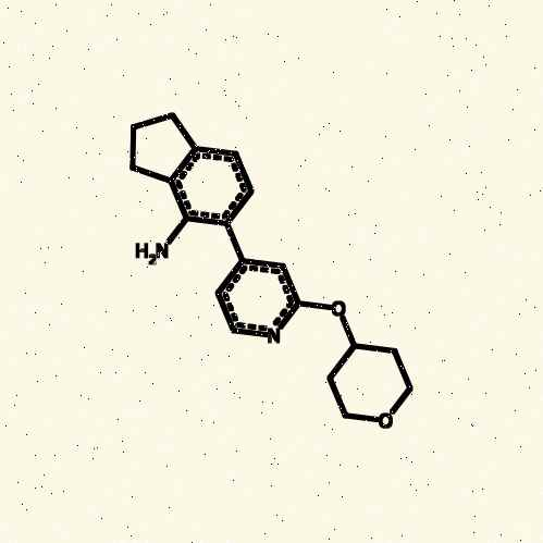 Nc1c(-c2ccnc(OC3CCOCC3)c2)ccc2c1CCC2